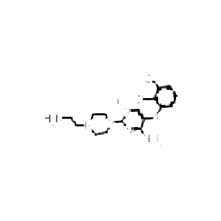 CN1C=C(Sc2cccc(Cl)c2Cl)C(N)=NC1N1CCN(CCN)CC1